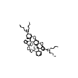 CCCCN(CCCC)c1ccc2c(c1)Oc1cc3c(cc1C21OC(=O)c2ccccc21)C1(OC(=O)c2ccccc21)c1ccc(N(CCCC)CCCC)cc1O3